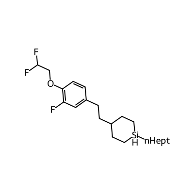 CCCCCCC[SiH]1CCC(CCc2ccc(OCC(F)F)c(F)c2)CC1